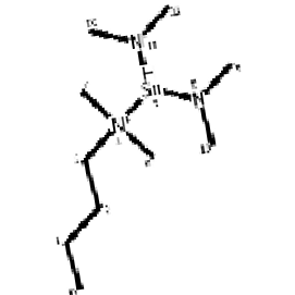 CCCC[N+](C)(C)[SnH]([N](C)C)[N](C)C